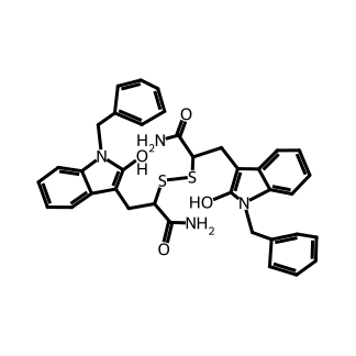 NC(=O)C(Cc1c(O)n(Cc2ccccc2)c2ccccc12)SSC(Cc1c(O)n(Cc2ccccc2)c2ccccc12)C(N)=O